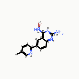 Cc1ccc(-c2ccc3nc(N)nc(NBr)c3c2)nc1